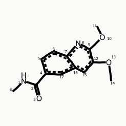 CNC(=O)c1ccc2nc(OC)c(OC)cc2c1